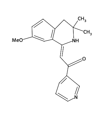 COc1ccc2c(c1)C(=CC(=O)c1cccnc1)NC(C)(C)C2